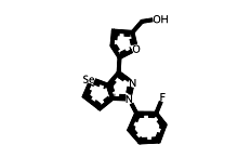 OCc1ccc(-c2nn(-c3ccccc3F)c3cc[se]c23)o1